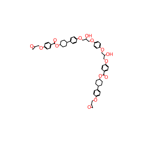 O=C(OC1CCC(c2ccc(OCC(O)COc3ccc(OCC(O)COc4ccc(C(=O)OC5CCC(c6ccc(OCC7CO7)cc6)CC5)cc4)cc3)cc2)CC1)c1ccc(OCC2CO2)cc1